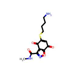 CNC(=O)c1noc2c1C(=O)C(SCCCCN)=CC2=O